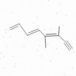 C=CC=CC(O)=C(O)C#N